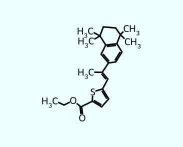 CCOC(=O)c1ccc(C=C(C)c2ccc3c(c2)C(C)(C)CCC3(C)C)s1